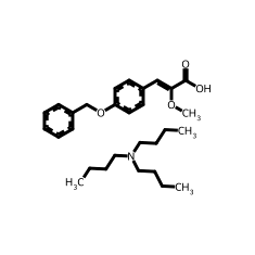 CCCCN(CCCC)CCCC.COC(=Cc1ccc(OCc2ccccc2)cc1)C(=O)O